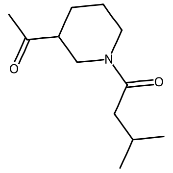 CC(=O)C1CCCN(C(=O)CC(C)C)C1